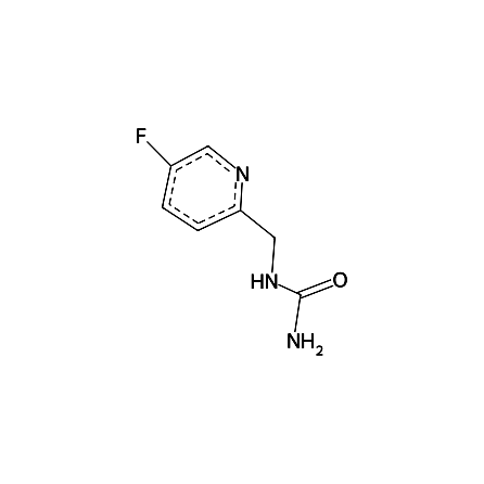 NC(=O)NCc1ccc(F)cn1